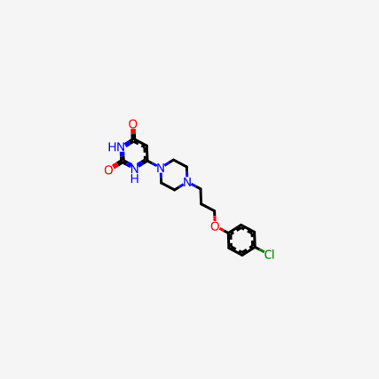 O=c1cc(N2CCN(CCCOc3ccc(Cl)cc3)CC2)[nH]c(=O)[nH]1